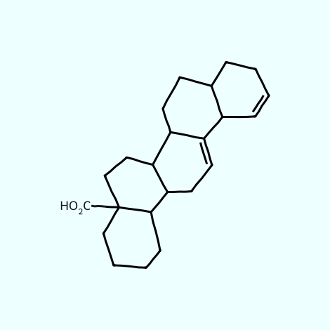 O=C(O)C12CCCCC1C1CC=C3C4C=CCCC4CCC3C1CC2